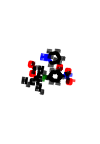 CC(C)(C)OC=O.O=[N+]([O-])c1ccc(F)cc1O[C@H]1CCCNC1